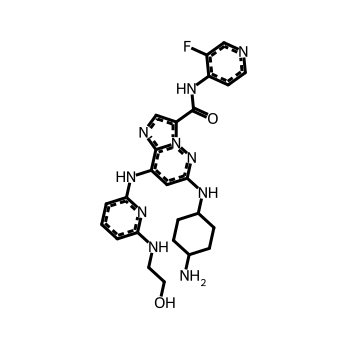 NC1CCC(Nc2cc(Nc3cccc(NCCO)n3)c3ncc(C(=O)Nc4ccncc4F)n3n2)CC1